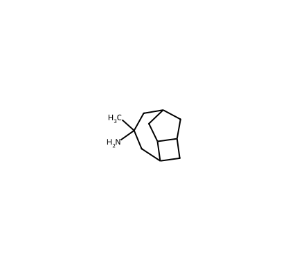 CC1(N)CC2CC3CC(C1)C3C2